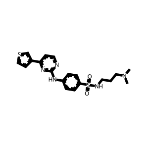 CN(C)CCCNS(=O)(=O)c1ccc(Nc2nccc(-c3ccsc3)n2)cc1